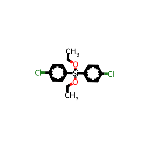 CCO[Si](OCC)(c1ccc(Cl)cc1)c1ccc(Cl)cc1